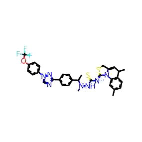 Cc1ccc2c(c1)N1C(=CC2C)CS/C1=N\C(=S)NN(C)C(C)c1ccc(-c2ncn(-c3ccc(OC(F)(F)F)cc3)n2)cc1